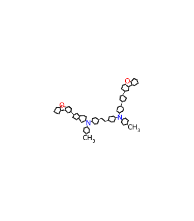 Cc1ccc(N(c2ccc(/C=C/c3ccc(N(c4ccc(C)cc4)c4ccc5cc(-c6ccc7oc8ccccc8c7c6)ccc5c4)cc3)cc2)c2ccc(-c3ccc(-c4ccc5oc6ccccc6c5c4)cc3)cc2)cc1